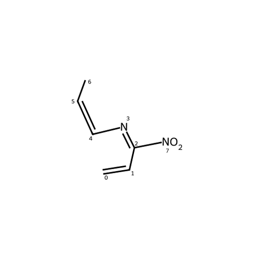 C=C/C(=N\C=C/C)[N+](=O)[O-]